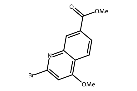 COC(=O)c1ccc2c(OC)cc(Br)nc2c1